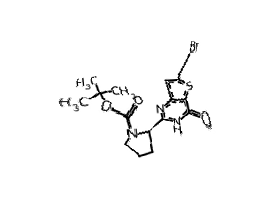 CC(C)(C)OC(=O)N1CCC[C@@H]1c1nc2cc(Br)sc2c(=O)[nH]1